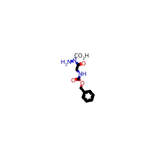 NN(C(=O)O)C(=O)CNC(=O)OCc1ccccc1